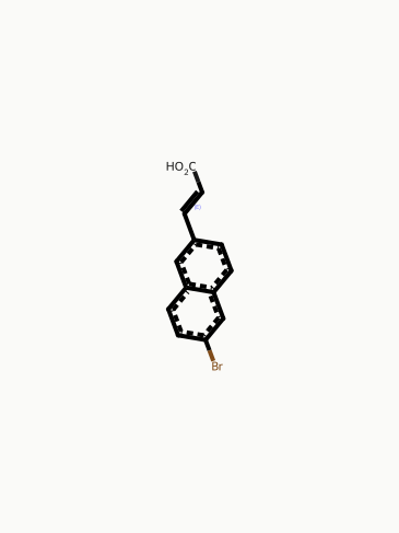 O=C(O)/C=C/c1ccc2cc(Br)ccc2c1